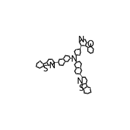 c1ccc2c(c1)oc1cncc(-c3ccc(N(c4ccc5cc(-c6ccc7c(n6)sc6ccccc67)ccc5c4)c4ccc5cc(-c6ccc7c(n6)sc6ccccc67)ccc5c4)cc3)c12